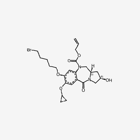 C=CCOC(=O)N1C[C@@H]2C[C@@H](O)CN2C(=O)c2cc(OC3CC3)c(OCCCCCBr)cc21